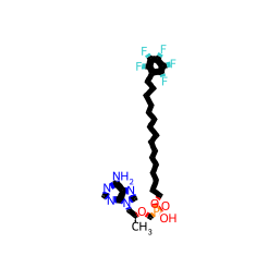 C[C@H](Cn1cnc2c(N)ncnc21)OCP(=O)(O)OCCCCCCCCCCCCCCCCc1c(F)c(F)c(F)c(F)c1F